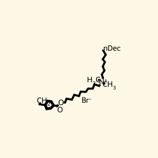 C=Cc1ccc(C(=O)OCCCCCCCCCCC[N+](C)(C)CCCCCCCCCCCCCCCCCC)cc1.[Br-]